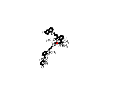 Cc1nn(C)c(C)c1-c1c(Cl)ccc2c(CCCOc3cccc4cc(F)ccc34)c(C(=O)O)n(CCOCCCn3c(C)nc4c(C(=O)NC5CCC(=O)NC5=O)cccc43)c12